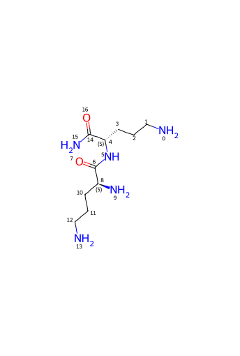 NCCC[C@H](NC(=O)[C@@H](N)CCCN)C(N)=O